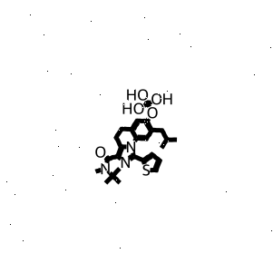 CC(C)Cc1cc2c(cc1OC(O)(O)O)CCc1c(C(=O)N(C)C(C)(C)C)nc(-c3cccs3)n1-2